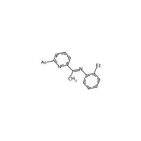 CCc1ccccc1/N=C(\C)c1cccc(C(C)=O)n1